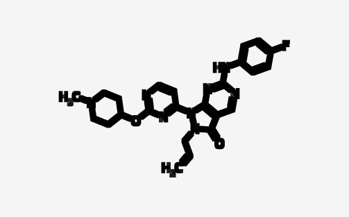 C=CCn1c(=O)c2cnc(Nc3ccc(F)cc3)nc2n1-c1ccnc(OC2CCN(C)CC2)n1